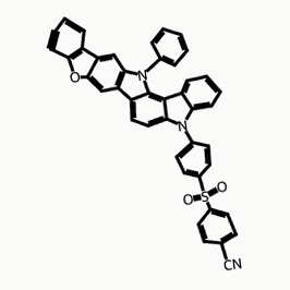 N#Cc1ccc(S(=O)(=O)c2ccc(-n3c4ccccc4c4c3ccc3c5cc6oc7c#cccc7c6cc5n(-c5ccccc5)c34)cc2)cc1